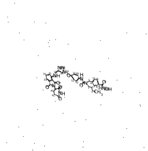 CCCCN(Cc1ccc(C(=O)NO)cc1)C(=O)Nc1ccc(OCn2cc(CNc3cccc4c3C(=O)N(C3CCC(=O)NC3=O)C4=O)nn2)cc1